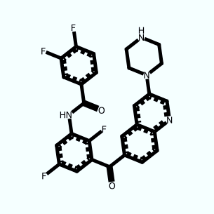 O=C(Nc1cc(F)cc(C(=O)c2ccc3ncc(N4CCNCC4)cc3c2)c1F)c1ccc(F)c(F)c1